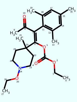 CCOC(=O)O/C(=C(/C(C)=O)c1c(C)cc(C)cc1C)C1(C)CCN(OCC)CC1